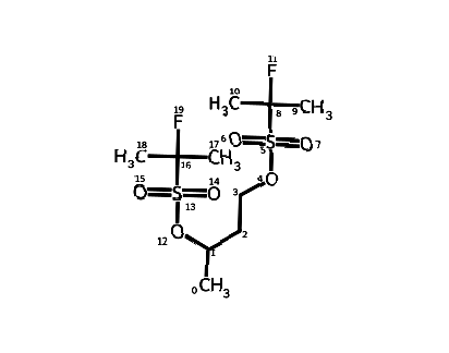 CC(CCOS(=O)(=O)C(C)(C)F)OS(=O)(=O)C(C)(C)F